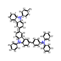 Cc1ccc(-n2c3ccccc3c3cc(-c4ccc5c(c4)c4cc(-c6ccc(N(c7ccccc7)c7ccccc7)cc6)ccc4n5-c4ccccc4)ccc32)cc1